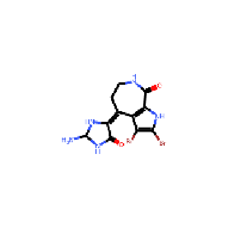 NC1NC(=O)/C(=C2/CCNC(=O)c3[nH]c(Br)c(Br)c32)N1